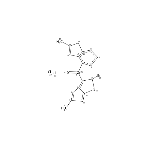 CC1=CC2=[C]([Zr+2](=[S])[c]3cccc4c3C=C(C)C4)C(Br)SC2=C1.[Cl-].[Cl-]